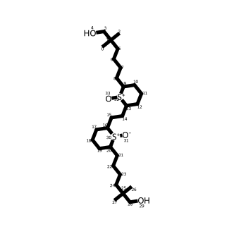 CC(C)(CO)CCCCC1CCCC(CCC2CCCC(CCCCC(C)(C)CO)[S+]2[O-])[S+]1[O-]